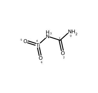 NC(=O)[NH][Ti](=[O])=[O]